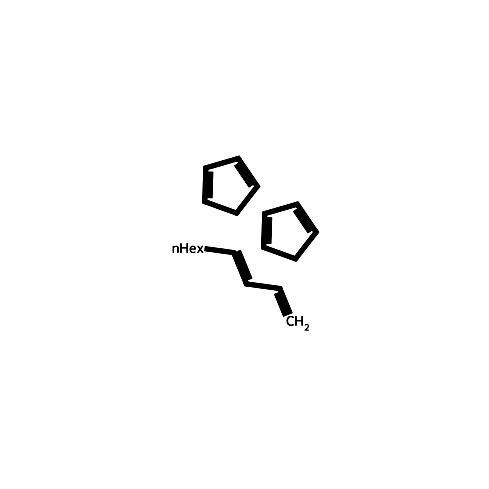 C1=CCC=C1.C1=CCC=C1.C=CC=CCCCCCC